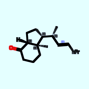 CCC/C=C/[C@@H](C)[C@H]1CC[C@H]2C(=O)CCC[C@]12C